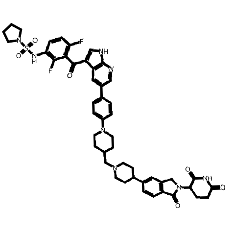 O=C1CCC(N2Cc3cc(C4CCN(CC5CCN(c6ccc(-c7cnc8[nH]cc(C(=O)c9c(F)ccc(NS(=O)(=O)N%10CCCC%10)c9F)c8c7)cc6)CC5)CC4)ccc3C2=O)C(=O)N1